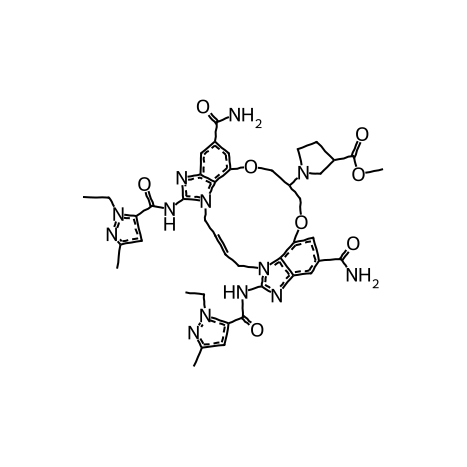 CCn1nc(C)cc1C(=O)Nc1nc2cc(C(N)=O)cc3c2n1C/C=C/Cn1c(NC(=O)c2cc(C)nn2CC)nc2cc(C(N)=O)cc(c21)OCC(N1CCC(C(=O)OC)C1)CO3